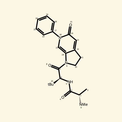 CN[C@@H](C)C(=O)N[C@H](C(=O)N1CCc2cc(=O)n(-c3ccccc3)cc21)C(C)(C)C